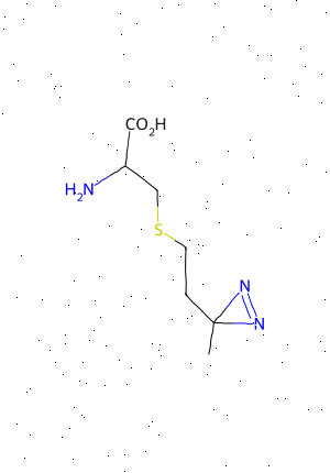 CC1(CCSCC(N)C(=O)O)N=N1